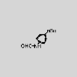 CCCCc1ccc(NC=O)cc1